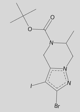 CC1Cn2nc(Br)c(I)c2CN1C(=O)OC(C)(C)C